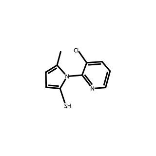 Cc1ccc(S)n1-c1ncccc1Cl